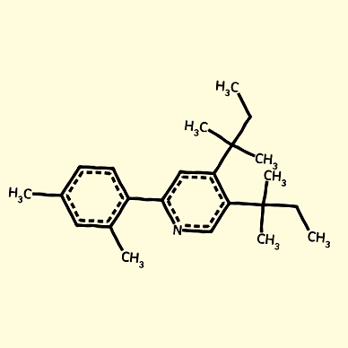 CCC(C)(C)c1cnc(-c2ccc(C)cc2C)cc1C(C)(C)CC